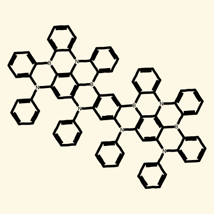 c1ccc(N2c3ccccc3B3c4ccccc4N4c5ccccc5B5c6cc7c(cc6N(c6ccccc6)c6cc2c3c4c65)N(c2ccccc2)c2cc3c4c5c2B7c2ccccc2N5c2ccccc2B4c2ccccc2N3c2ccccc2)cc1